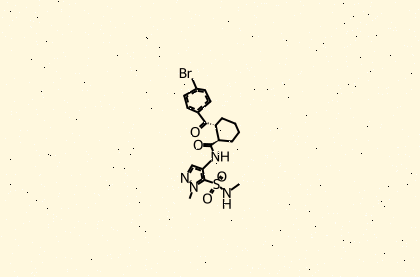 CNS(=O)(=O)c1c(NC(=O)[C@@H]2CCCC[C@H]2C(=O)c2ccc(Br)cc2)cnn1C